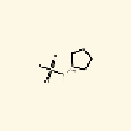 CS(=O)(=O)N[C@H]1CC[N]C1